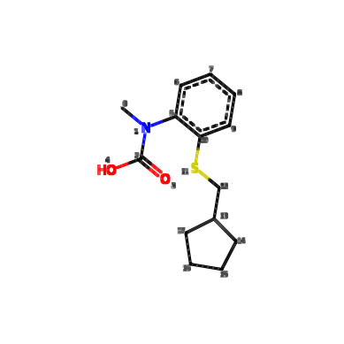 CN(C(=O)O)c1ccccc1SCC1CCCC1